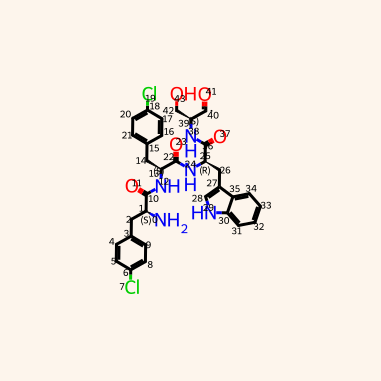 N[C@@H](Cc1ccc(Cl)cc1)C(=O)N[C@@H](Cc1ccc(Cl)cc1)C(=O)N[C@H](Cc1c[nH]c2ccccc12)C(=O)N[C@H]([C]=O)CO